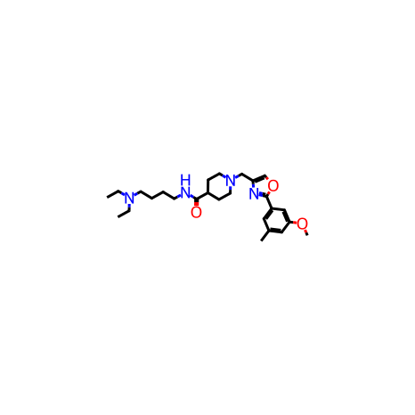 CCN(CC)CCCCNC(=O)C1CCN(Cc2coc(-c3cc(C)cc(OC)c3)n2)CC1